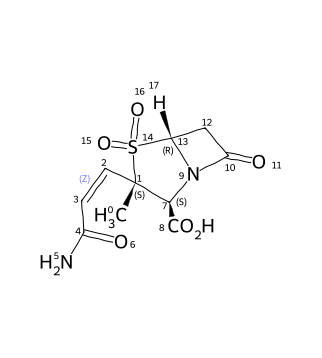 C[C@]1(/C=C\C(N)=O)[C@H](C(=O)O)N2C(=O)C[C@H]2S1(=O)=O